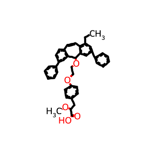 CCc1cc(-c2ccccc2)cc2c1C=Cc1ccc(-c3ccccc3)cc1C2OCCOc1ccc(CC(OC)C(=O)O)cc1